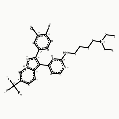 CCN(CC)CCCCNc1nccc(-c2c(-c3ccc(F)c(Cl)c3)nn3cc(C(F)(F)F)ccc23)n1